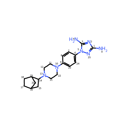 Nc1nc(N)n(-c2ccc(N3CCN(C4CC5CCC4C5)CC3)cc2)n1